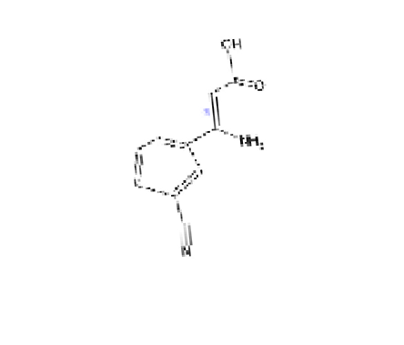 N#Cc1cccc(/C(N)=C/C(=O)O)c1